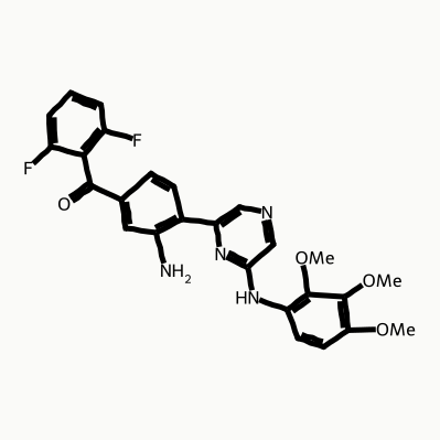 COc1ccc(Nc2cncc(-c3ccc(C(=O)c4c(F)cccc4F)cc3N)n2)c(OC)c1OC